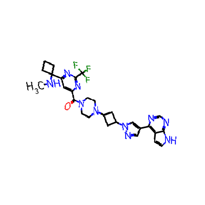 CNC1(c2cc(C(=O)N3CCN(C4CC(n5cc(-c6ncnc7[nH]ccc67)cn5)C4)CC3)nc(C(F)(F)F)n2)CCC1